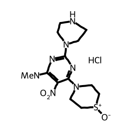 CNc1nc(N2CCNCC2)nc(N2CC[S+]([O-])CC2)c1[N+](=O)[O-].Cl